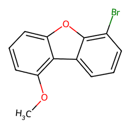 COc1cccc2oc3c(Br)cccc3c12